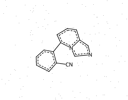 N#Cc1ccccc1-c1cccc2cncn12